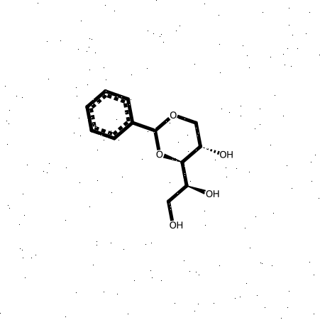 OC[C@H](O)[C@H]1OC(c2ccccc2)OC[C@@H]1O